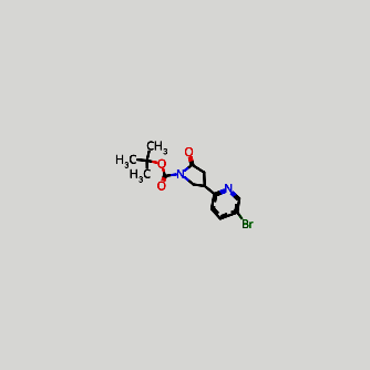 CC(C)(C)OC(=O)N1CC(c2ccc(Br)cn2)CC1=O